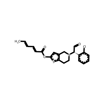 C/C=C/C=C/C(=O)Oc1cc2c(s1)CCN([C@H](C=O)c1ccccc1Cl)C2